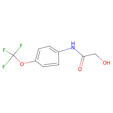 O=C(CO)Nc1ccc(OC(F)(F)F)cc1